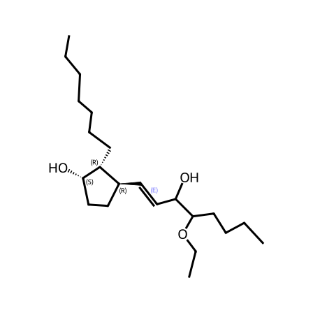 CCCCCCC[C@H]1[C@@H](O)CC[C@@H]1/C=C/C(O)C(CCCC)OCC